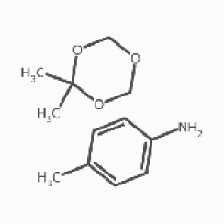 CC1(C)OCOCO1.Cc1ccc(N)cc1